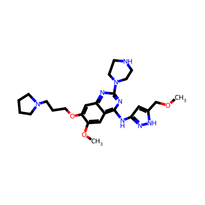 COCc1cc(Nc2nc(N3CCNCC3)nc3cc(OCCCN4CCCC4)c(OC)cc23)n[nH]1